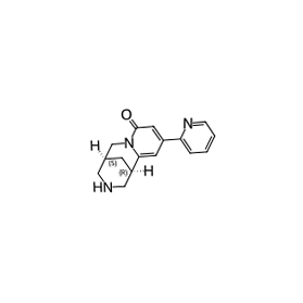 O=c1cc(-c2ccccn2)cc2n1C[C@@H]1CNC[C@H]2C1